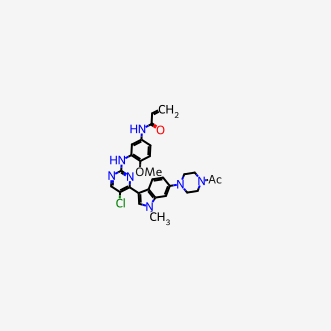 C=CC(=O)Nc1ccc(OC)c(Nc2ncc(Cl)c(-c3cn(C)c4cc(N5CCN(C(C)=O)CC5)ccc34)n2)c1